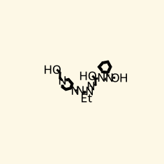 CCC(N=NCC(O)[n+]1cn(O)c2ccccc21)=NN=c1ccn(CCO)cc1